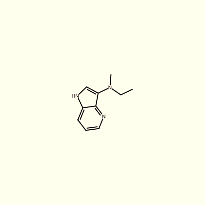 CCN(C)c1c[nH]c2cccnc12